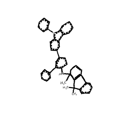 CC1(Nc2ccc(-c3ccc4c(c3)c3ccccc3n4-c3ccccc3)cc2-c2ccccc2)CC=CC2=C1C(C)(C)c1ccccc12